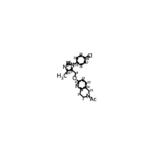 CC(=O)N1CCc2nc(OCc3c(C)nnn3-c3ccc(Cl)cc3)ccc2C1